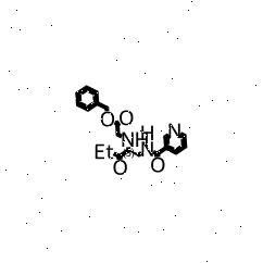 CCC(=O)[C@H](CNC(=O)c1cccnc1)NCC(=O)OCc1ccccc1